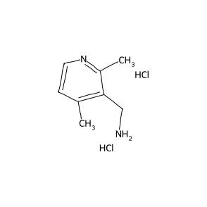 Cc1ccnc(C)c1CN.Cl.Cl